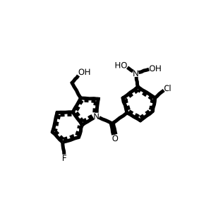 O=C(c1ccc(Cl)c(N(O)O)c1)n1cc(CO)c2ccc(F)cc21